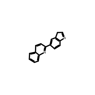 C1=Nc2ccc(-c3ccc4ccccc4n3)cc2C1